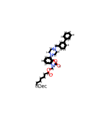 CCCCCCCCCCCCCCCC(=O)OCn1c(=O)oc2c(N3CCN(Cc4cccc(-c5ccccc5)c4)CC3)cccc21